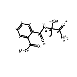 COC(=O)c1ccccc1C(=O)NC(C)(C(N)=O)C(C)(C)C